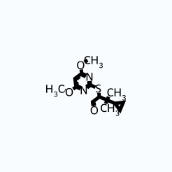 COc1cc(OC)nc(SC(C=O)C(C)(C)C2CC2)n1